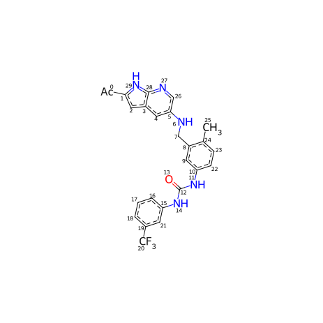 CC(=O)c1cc2cc(NCc3cc(NC(=O)Nc4cccc(C(F)(F)F)c4)ccc3C)cnc2[nH]1